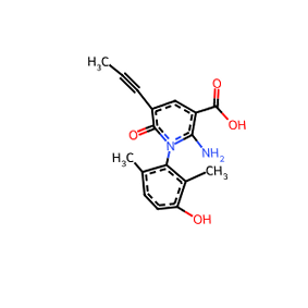 CC#Cc1cc(C(=O)O)c(N)n(-c2c(C)ccc(O)c2C)c1=O